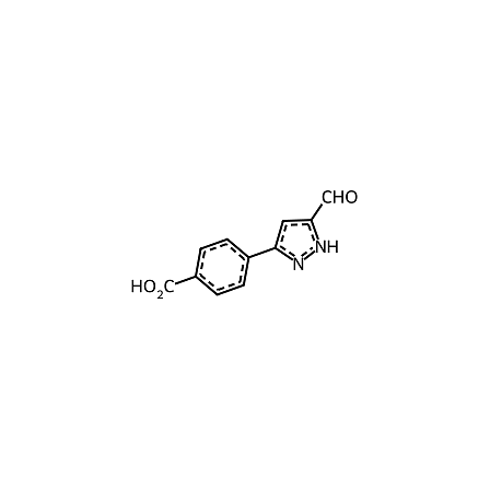 O=Cc1cc(-c2ccc(C(=O)O)cc2)n[nH]1